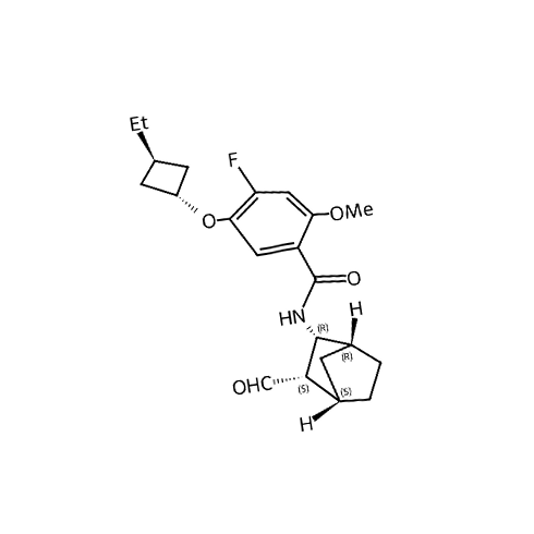 CC[C@H]1C[C@H](Oc2cc(C(=O)N[C@@H]3[C@@H]4CC[C@@H](C4)[C@@H]3C=O)c(OC)cc2F)C1